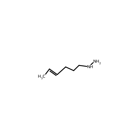 CC=CCCCNN